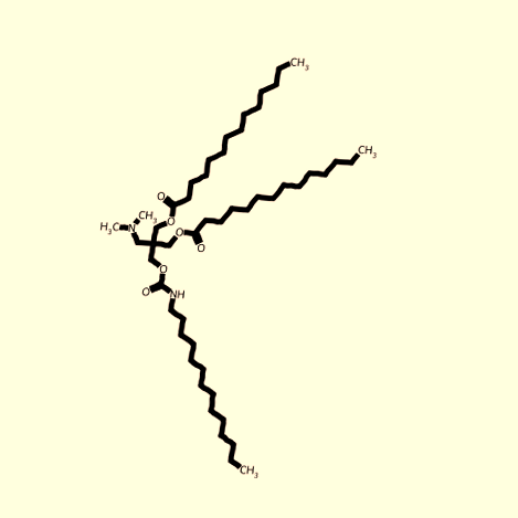 CCCCCCCCCCCCCCNC(=O)OCC(COC(=O)CCCCCCCCCCCCC)(COC(=O)CCCCCCCCCCCCC)CN(C)C